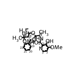 COc1ccnc(C(O)N[C@@H](C)C(=O)O[C@@H](C)[C@H](Cc2ccccc2)C(C)(C)OC)c1O